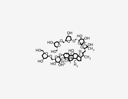 C[C@H](CC[C@@H](O[C@H]1C[C@@H](O)[C@H](O)[C@@H](CO[C@H]2C[C@@H](O)C[C@@H](CO[C@H]3C[C@@H](O)C[C@@H](CO)O3)O2)O1)C(C)(C)O)C1CC[C@@]2(C)[C@@H]3CC=C4C(CC[C@H](O[C@H]5C[C@@H](O)[C@H](O)[C@@H](CO[C@H]6C[C@@H](O)C[C@@H](CO)O6)O5)C4(C)C)[C@]3(C)[C@H](O)C[C@]12C